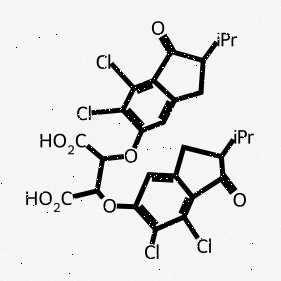 CC(C)C1Cc2cc(OC(C(=O)O)C(Oc3cc4c(c(Cl)c3Cl)C(=O)C(C(C)C)C4)C(=O)O)c(Cl)c(Cl)c2C1=O